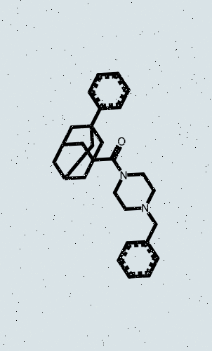 O=C(N1CCN(Cc2ccccc2)CC1)C12CC3CC(C1)CC(c1ccccc1)(C3)C2